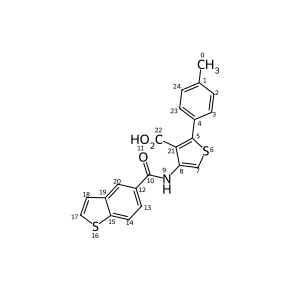 Cc1ccc(-c2scc(NC(=O)c3ccc4sccc4c3)c2C(=O)O)cc1